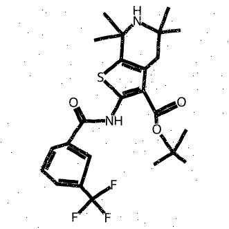 CC1(C)Cc2c(sc(NC(=O)c3cccc(C(F)(F)F)c3)c2C(=O)OC(C)(C)C)C(C)(C)N1